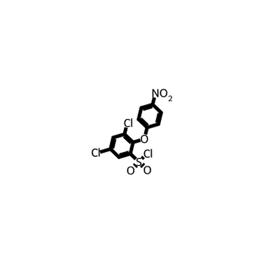 O=[N+]([O-])c1ccc(Oc2c(Cl)cc(Cl)cc2S(=O)(=O)Cl)cc1